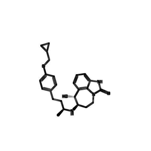 C[C@@H](CCc1ccc(OCC2CC2)cc1)N[C@@H]1CCn2c(=O)[nH]c3cccc(c32)[C@H]1O